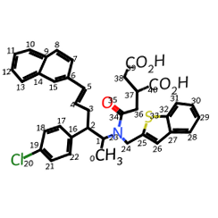 CC(C(CC=Cc1ccc2ccccc2c1)c1ccc(Cl)cc1)N(Cc1cc2ccccc2s1)C(=O)CC(CC(=O)O)C(=O)O